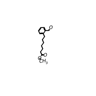 COC(=O)CCCCCCc1ccccc1C=O